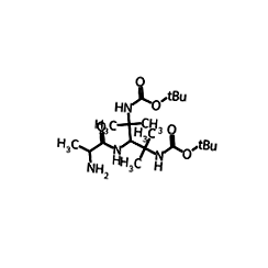 CC(N)C(=O)NC(C(C)(C)NC(=O)OC(C)(C)C)C(C)(C)NC(=O)OC(C)(C)C